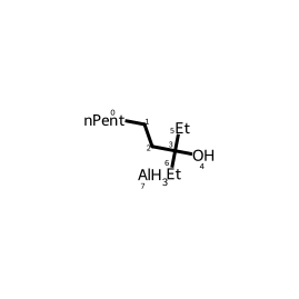 CCCCCCCC(O)(CC)CC.[AlH3]